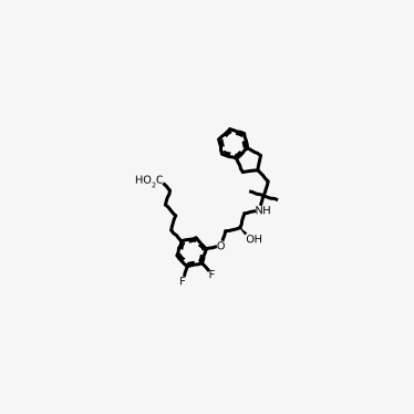 CC(C)(CC1Cc2ccccc2C1)NC[C@@H](O)COc1cc(CCCCC(=O)O)cc(F)c1F